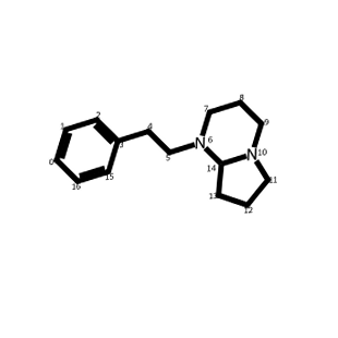 c1ccc(CCN2CCCN3CCCC32)cc1